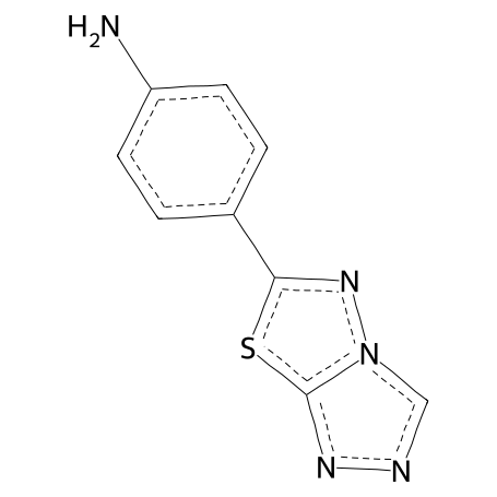 Nc1ccc(-c2nn3cnnc3s2)cc1